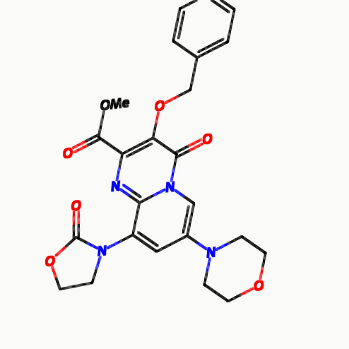 COC(=O)c1nc2c(N3CCOC3=O)cc(N3CCOCC3)cn2c(=O)c1OCc1ccccc1